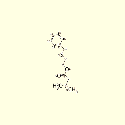 CC(C)CC(=O)OCCSCc1ccccc1